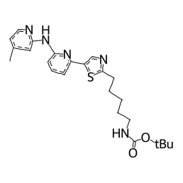 Cc1ccnc(Nc2cccc(-c3cnc(CCCCCNC(=O)OC(C)(C)C)s3)n2)c1